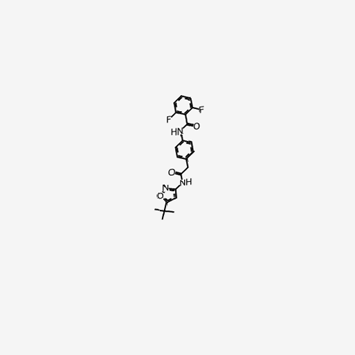 CC(C)(C)c1cc(NC(=O)Cc2ccc(NC(=O)c3c(F)cccc3F)cc2)no1